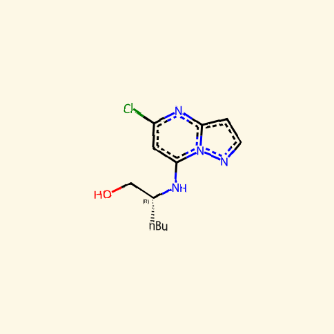 CCCC[C@H](CO)Nc1cc(Cl)nc2ccnn12